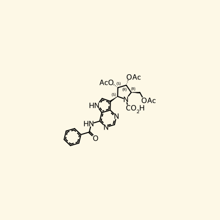 CC(=O)OC[C@@H]1[C@@H](OC(C)=O)[C@@H](OC(C)=O)[C@H](c2c[nH]c3c(NC(=O)c4ccccc4)ncnc23)N1C(=O)O